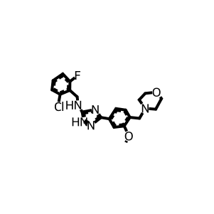 COc1cc(-c2n[nH]c(NCc3c(F)cccc3Cl)n2)ccc1CN1CCOCC1